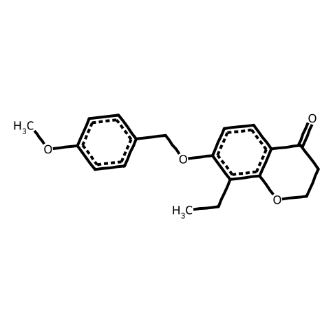 CCc1c(OCc2ccc(OC)cc2)ccc2c1OCCC2=O